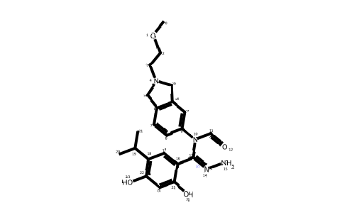 COCCN1Cc2ccc(N(C=O)/C(=N\N)c3cc(C(C)C)c(O)cc3O)cc2C1